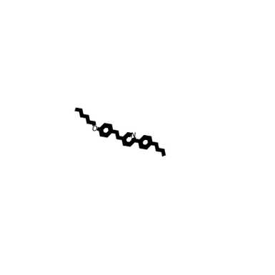 CCCCCCOc1ccc(CCc2ccc(-c3ccc(CCCC)cc3)nc2)cc1